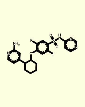 Nc1cc(C2CCCCC2Oc2cc(F)c(S(=O)(=O)Nc3ccncn3)cc2F)ccn1